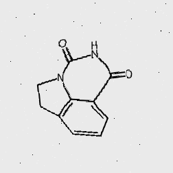 O=c1[nH]c(=O)n2c3c(cccc13)CC2